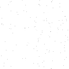 CCOc1cc(C(C)C)cc(-c2nc3nc(C(=O)O)nc(N[C@H](C)C4CCC4)c3n2C)n1